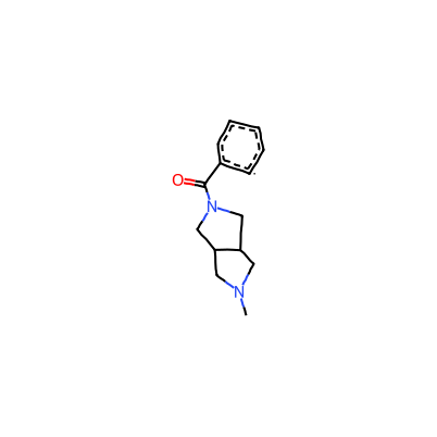 CN1CC2CN(C(=O)c3[c]cccc3)CC2C1